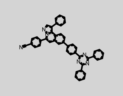 N#Cc1ccc(-c2cc3cc(-c4ccc(-c5nc(-c6ccccc6)nc(-c6ccccc6)n5)cc4)ccc3c3c(-c4ccccc4)cnn23)cc1